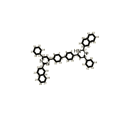 C1=C(c2ccc(-c3ccc(-c4cc(-c5ccccc5)nc(-c5ccc6ccccc6c5)n4)cc3)cc2)NC(c2ccc3ccccc3c2)N=C1c1ccccc1